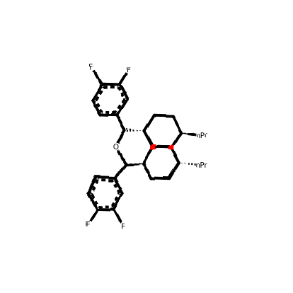 CCC[C@H]1CC[C@H](C(OC(c2ccc(F)c(F)c2)[C@H]2CC[C@H](CCC)CC2)c2ccc(F)c(F)c2)CC1